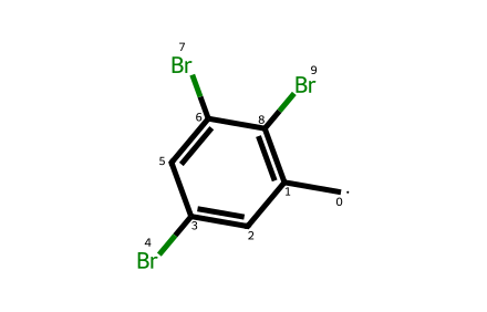 [CH2]c1cc(Br)cc(Br)c1Br